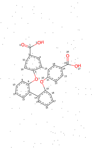 O=C(O)c1ccc(Oc2ccccc2-c2ccccc2Oc2ccc(C(=O)O)cc2)cc1